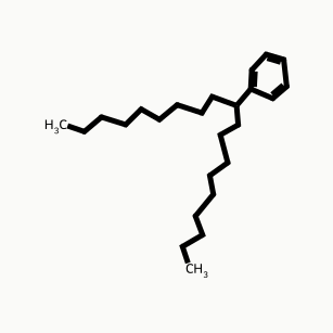 CCCCCCCCCC(CCCCCCCCC)c1ccccc1